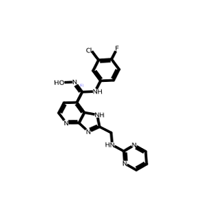 O/N=C(/Nc1ccc(F)c(Cl)c1)c1ccnc2nc(CNc3ncccn3)[nH]c12